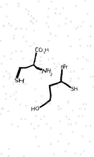 CCCC(S)CCO.NC(CS)C(=O)O